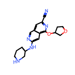 N#Cc1cc2cnc(NC3CCCNC3)cc2c(OC2CCOC2)n1